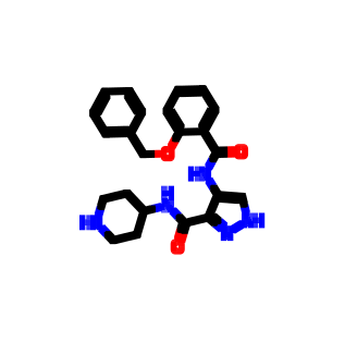 O=C(Nc1c[nH]nc1C(=O)NC1CCNCC1)c1ccccc1OCc1ccccc1